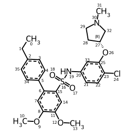 CCc1ccc(-c2cc(OC)c(OC)cc2S(=O)(=O)Nc2ccc(Cl)c(O[C@@H]3CCN(C)C3)c2)cc1